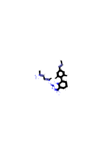 C=N/C(C)=C\C=C(/C)Nc1nc(N)c2cccc(-c3c(C)cc(/C=C/C)cc3C)c2n1